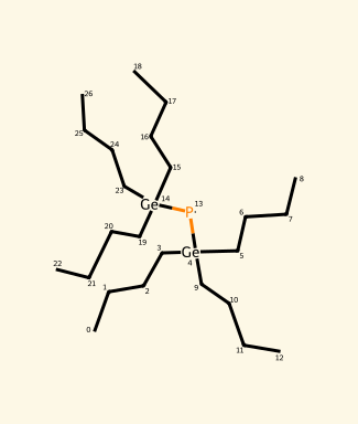 CCC[CH2][Ge]([CH2]CCC)([CH2]CCC)[P][Ge]([CH2]CCC)([CH2]CCC)[CH2]CCC